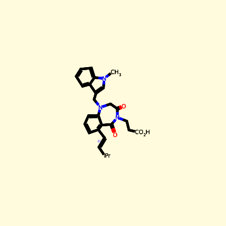 CC(C)/C=C/c1cccc2c1C(=O)N(CCC(=O)O)C(=O)CN2Cc1cn(C)c2ccccc12